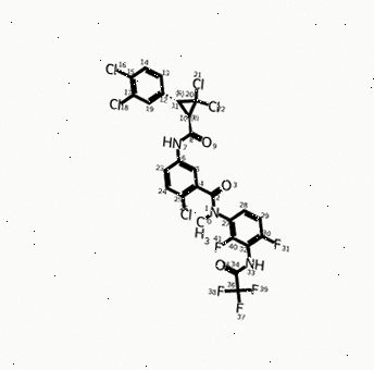 CN(C(=O)c1cc(NC(=O)[C@H]2[C@H](c3ccc(Cl)c(Cl)c3)C2(Cl)Cl)ccc1Cl)c1ccc(F)c(NC(=O)C(F)(F)F)c1F